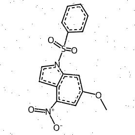 COc1cc([N+](=O)[O-])c2ccn(S(=O)(=O)c3ccccc3)c2c1